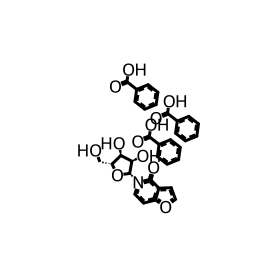 O=C(O)c1ccccc1.O=C(O)c1ccccc1.O=C(O)c1ccccc1.O=c1c2ccoc2ccn1[C@@H]1O[C@H](CO)[C@@H](O)[C@H]1O